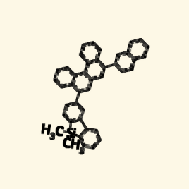 C[Si]1(C)c2ccccc2-c2cc(-c3cc4cc(-c5ccc6ccccc6c5)c5ccccc5c4c4ccccc34)ccc21